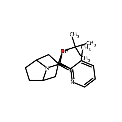 Cc1cccnc1C1(O)CC2CCC(C1)N2C(=O)OC(C)(C)C